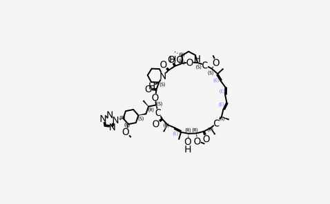 CO[C@H]1C[C@@H]2CC[C@@H](C)[C@@](O)(O2)C(=O)C(=O)N2CCCC[C@H]2C(=O)O[C@H]([C@H](C)C[C@@H]2CC[C@@H](n3ncnn3)[C@H](OC)C2)CC(=O)[C@H](C)/C=C(\C)[C@@H](O)[C@@H](OC)C(=O)[C@H](C)C[C@H](C)/C=C/C=C/C=C/1C